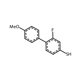 COc1ccc(-c2ccc(S)cc2F)cc1